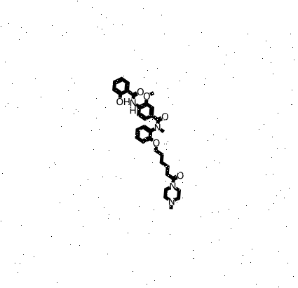 COc1cc(C(=O)N(C)c2ccccc2OCCCCCC(=O)N2CCN(C)CC2)ccc1NC(=O)c1ccccc1O